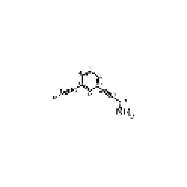 CC#Cc1cccc(C#CCN)c1